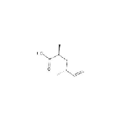 C=C[C@H](C)C[C@H](C)C(=O)O